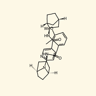 COc1cccc(C(=O)N[C@H]2C[C@H]3CC[C@@H](C2)N3c2ccc(C(=O)N[C@@H]3C[C@H]4CC[C@@H]3C4)cn2)c1C